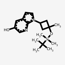 CC1(O[Si](C)(C)C(C)(C)C)CC(n2ccc3cc(O)cnc32)C1